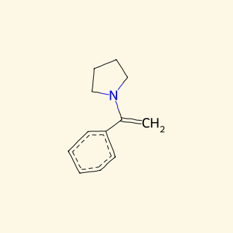 C=C(c1ccccc1)N1CCCC1